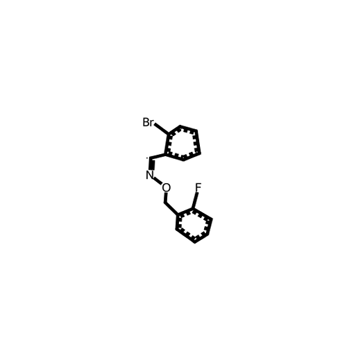 Fc1ccccc1CO/N=[C]\c1ccccc1Br